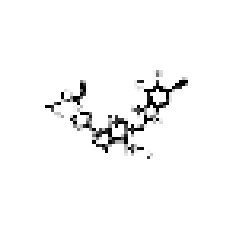 C#Cc1cc2nc(C[n+]3cnc4c(c(I)nn4C4C[C@H](COC)N(C(=O)C=C)C4)c3N)n(C)c2c(F)c1F